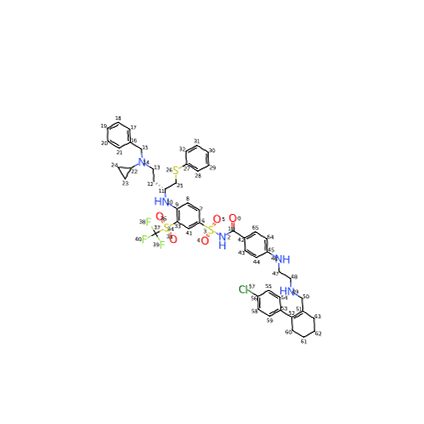 O=C(NS(=O)(=O)c1ccc(N[C@H](CCN(Cc2ccccc2)C2CC2)CSc2ccccc2)c(S(=O)(=O)C(F)(F)F)c1)c1ccc(NCCNCC2=C(c3ccc(Cl)cc3)CCCC2)cc1